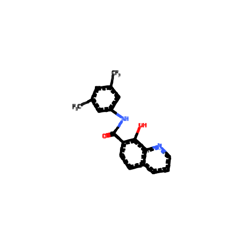 O=C(Nc1cc(C(F)(F)F)cc(C(F)(F)F)c1)c1ccc2cccnc2c1O